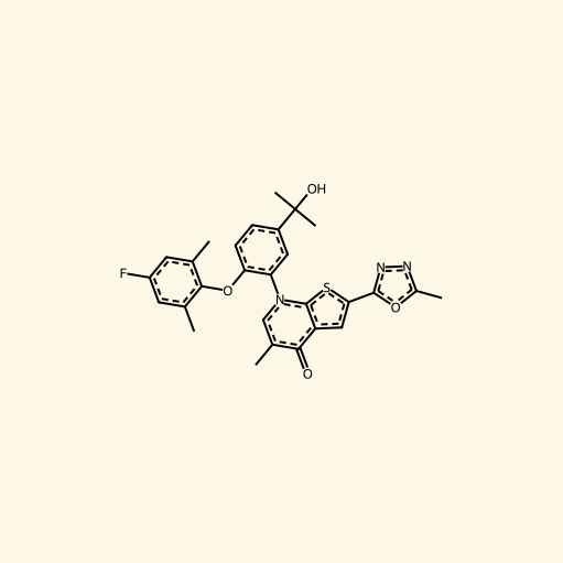 Cc1nnc(-c2cc3c(=O)c(C)cn(-c4cc(C(C)(C)O)ccc4Oc4c(C)cc(F)cc4C)c3s2)o1